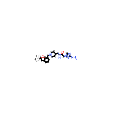 CC1(C)Cc2cccc(CN3CCC(CNC(=O)Cn4cnc(N)n4)CC3)c2O1